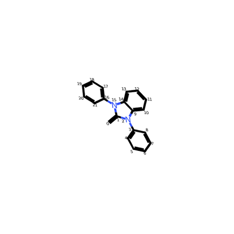 C=C1N(c2ccccc2)c2ccccc2N1c1ccccc1